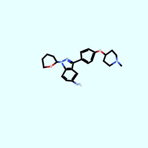 CN1CCC(Oc2ccc(-c3nn(C4CCCCO4)c4ccc(N)cc34)cc2)CC1